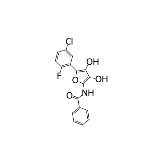 O=C(Nc1oc(-c2cc(Cl)ccc2F)c(O)c1O)c1ccccc1